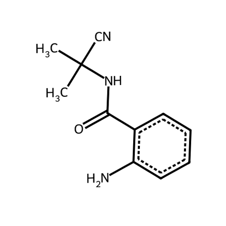 CC(C)(C#N)NC(=O)c1ccccc1N